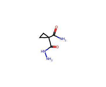 NNC(=O)C1(C(N)=O)CC1